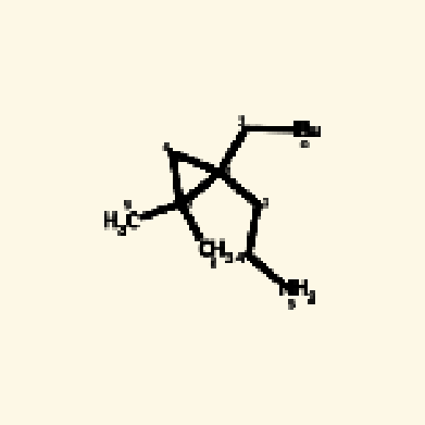 CCC(C)CC1(CCN)CC1(C)C